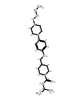 COOSN1CCN(c2ccc(OCC3CCN(C(=O)OC(C)C)CC3)cc2)CC1